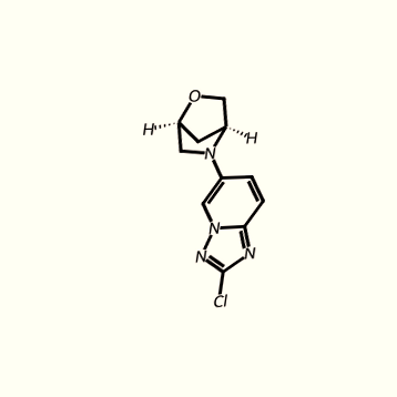 Clc1nc2ccc(N3C[C@@H]4C[C@H]3CO4)cn2n1